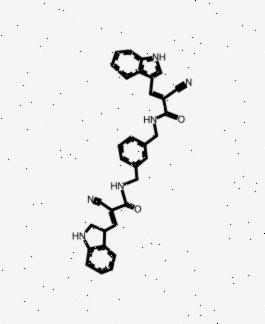 N#C/C(=C\c1c[nH]c2ccccc12)C(=O)NCc1cccc(CNC(=O)/C(C#N)=C/C2CNc3ccccc32)c1